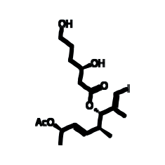 CC(=O)O[C@H](C)/C=C/[C@H](C)[C@H](OC(=O)C[C@H](O)CCCO)/C(C)=C/I